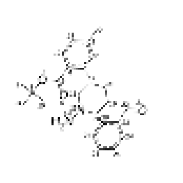 Cc1ccc(C(=O)OC(C)(C)C)cc1.NN1CCCCC1.O=Cc1ccccc1